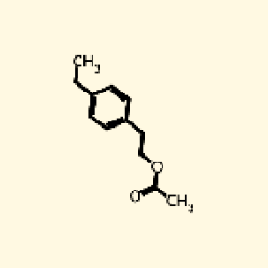 CCc1ccc(CCOC(C)=O)cc1